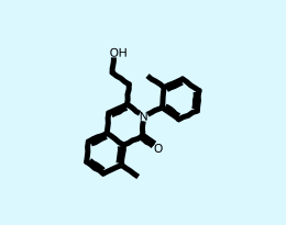 Cc1ccccc1-n1c(CCO)cc2cccc(C)c2c1=O